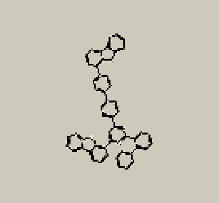 c1ccc(-c2ccccc2-c2nc(-c3ccc(-c4ccc(-c5cccc6c5sc5ccccc56)cc4)cc3)nc(-c3cccc4c3sc3ccccc34)n2)cc1